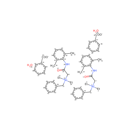 CC[N+](CC)(CC(=O)Nc1c(C)cccc1C)Cc1ccccc1.CC[N+](CC)(CC(=O)Nc1c(C)cccc1C)Cc1ccccc1.O.O.O=C([O-])c1ccccc1.O=C([O-])c1ccccc1